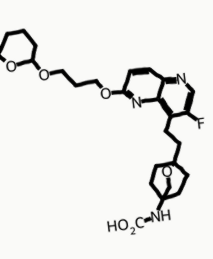 O=C(O)NC12CCC(CCc3c(F)cnc4ccc(OCCCOC5CCCCO5)nc34)(CC1)OC2